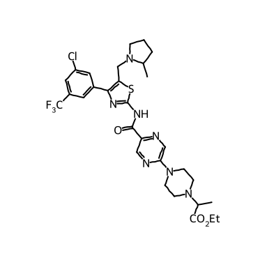 CCOC(=O)C(C)N1CCN(c2cnc(C(=O)Nc3nc(-c4cc(Cl)cc(C(F)(F)F)c4)c(CN4CCCC4C)s3)cn2)CC1